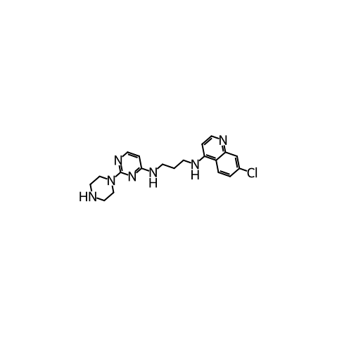 Clc1ccc2c(NCCCNc3ccnc(N4CCNCC4)n3)ccnc2c1